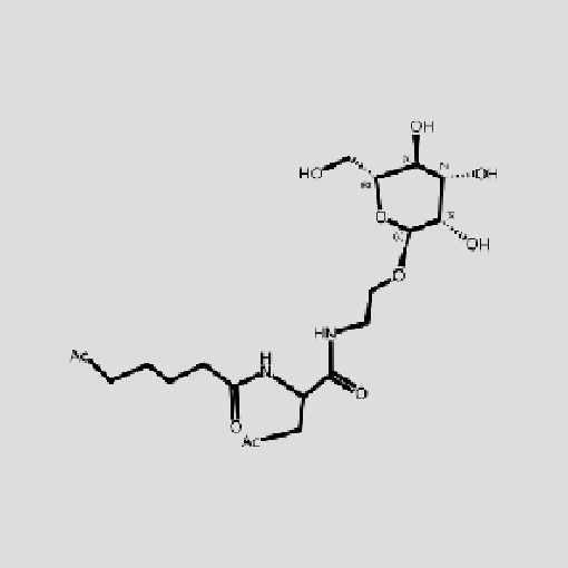 CC(=O)CCCCC(=O)NC(CC(C)=O)C(=O)NCCO[C@H]1O[C@H](CO)[C@@H](O)[C@H](O)[C@@H]1O